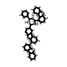 c1ccc(C2NC(c3ccc4sc5c(-c6cccc7c6oc6ccccc67)cccc5c4c3)NC(c3cccc4sc5ccccc5c34)N2)cc1